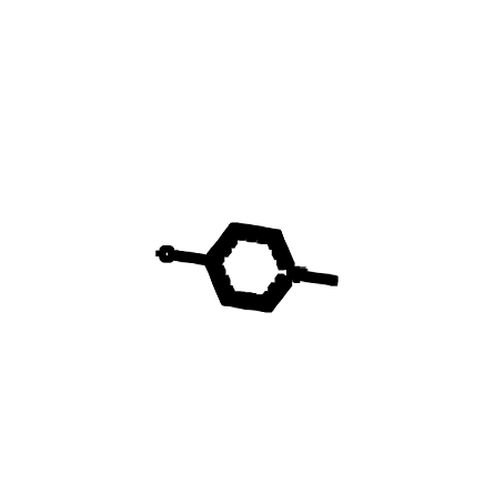 C[n+]1ccc([O])cc1